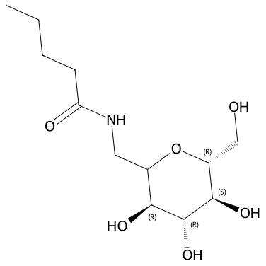 CCCCC(=O)NCC1O[C@H](CO)[C@@H](O)[C@H](O)[C@H]1O